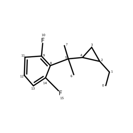 CCC1CC1C(C)(C)c1c(F)cccc1F